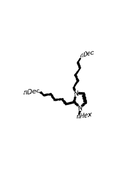 CCCCCCCCCCCCCCCC1N(CCCCCC)C=CN1CCCCCCCCCCCCCCC